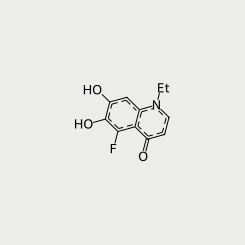 CCn1ccc(=O)c2c(F)c(O)c(O)cc21